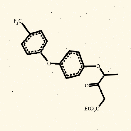 CCOC(=O)CC(=O)C(C)Oc1ccc(Oc2ccc(C(F)(F)F)cc2)cc1